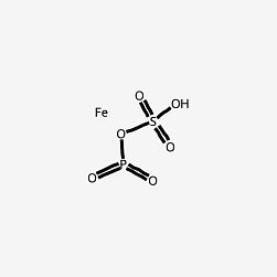 O=P(=O)OS(=O)(=O)O.[Fe]